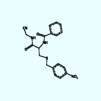 N#CCNC(=O)C(CSCc1ccc([N+](=O)[O-])cc1)NC(=O)c1ccccc1